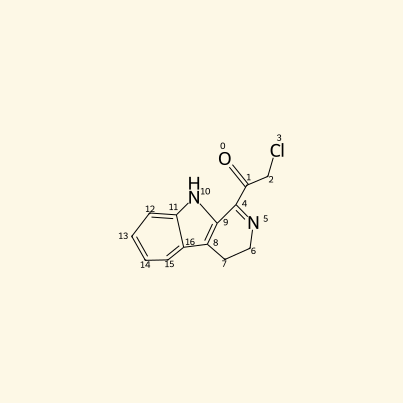 O=C(CCl)C1=NCCc2c1[nH]c1ccccc21